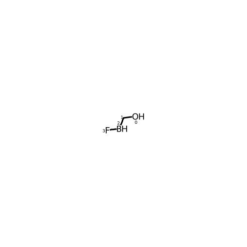 OCBF